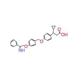 N=C(COc1ccc(COc2ccc(C(CC(=O)O)C3CC3)cc2)cc1)c1ccccc1